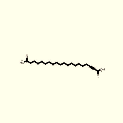 O=C(O)C#CCCCCCCCCCCCCCCCCC(=O)O